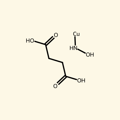 O=C(O)CCC(=O)O.O[NH][Cu]